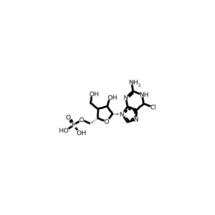 NC1=Nc2c(ncn2[C@@H]2O[C@H](COP(=O)(O)O)C(CO)C2O)C(Cl)N1